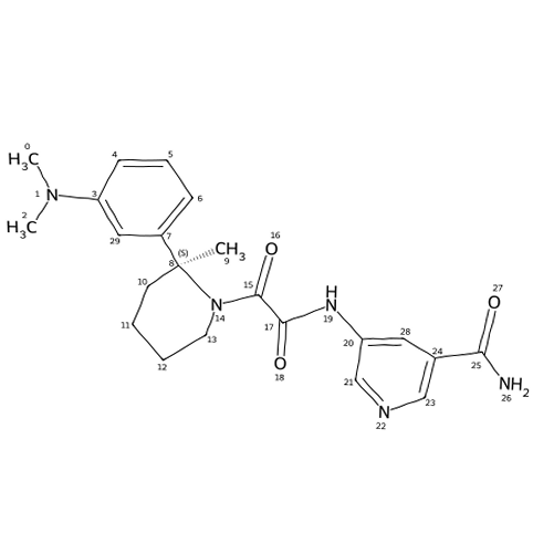 CN(C)c1cccc([C@]2(C)CCCCN2C(=O)C(=O)Nc2cncc(C(N)=O)c2)c1